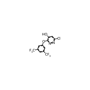 Oc1cc(Cl)nnc1Oc1cc(C(F)(F)F)cc(C(F)(F)F)c1